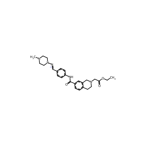 CCOC(=O)CN1CCc2ccc(C(=O)Nc3ccc(/C=N/N4CCN(C)CC4)cc3)cc2C1